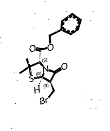 CC1(C)S[C@@H]2[C@H](CBr)C(=O)N2[C@H]1C(=O)OCc1ccccc1